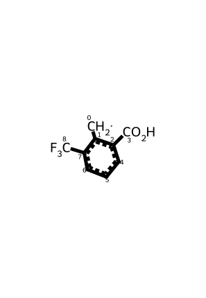 [CH2]c1c(C(=O)O)cccc1C(F)(F)F